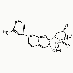 N#Cc1cccc(-c2ccc3cc(O)c(N4CC(=O)NS4(=O)=O)cc3c2)c1